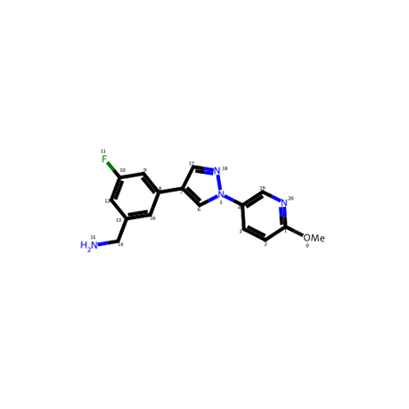 COc1ccc(-n2cc(-c3cc(F)cc(CN)c3)cn2)cn1